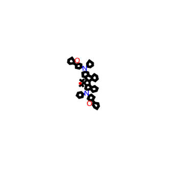 CC(C)(C)C1(C(C)(C)C)c2cc(N(c3ccccc3)c3ccc4c(c3)oc3ccccc34)c3ccccc3c2-c2c1c1ccc(N(c3ccccc3)c3ccc4c(c3)oc3ccccc34)cc1c1ccccc21